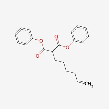 C=CCCCCC(C(=O)Oc1ccccc1)C(=O)Oc1ccccc1